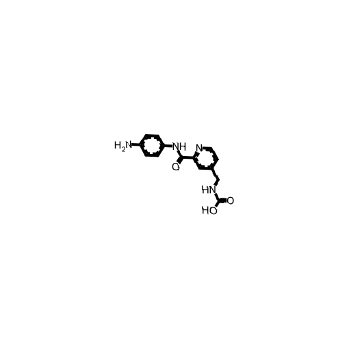 Nc1ccc(NC(=O)c2cc(CNC(=O)O)ccn2)cc1